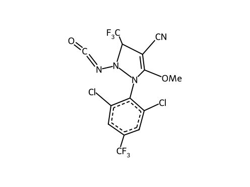 COC1=C(C#N)C(C(F)(F)F)N(N=C=O)N1c1c(Cl)cc(C(F)(F)F)cc1Cl